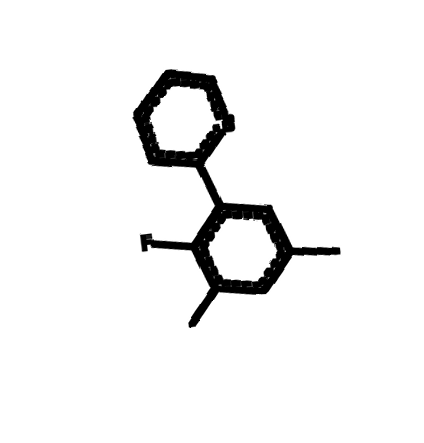 Cc1cc(C)c(F)c(-c2bcccc2)c1